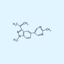 C=C(C)c1nn(C)c2ccc(-c3cnc(C)nc3)cc12